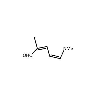 CN/C=C\C=C(\C)C=O